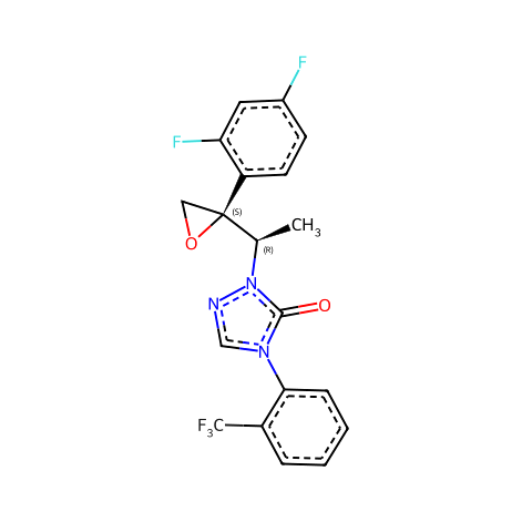 C[C@@H](n1ncn(-c2ccccc2C(F)(F)F)c1=O)[C@@]1(c2ccc(F)cc2F)CO1